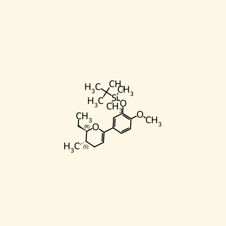 CC[C@H]1OC(c2ccc(OC)c(O[Si](C)(C)C(C)(C)C)c2)=CC[C@@H]1C